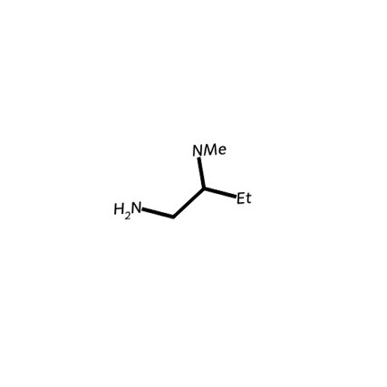 CCC(CN)NC